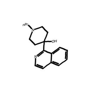 CCCN1CCC(O)(c2nccc3ccccc23)CC1